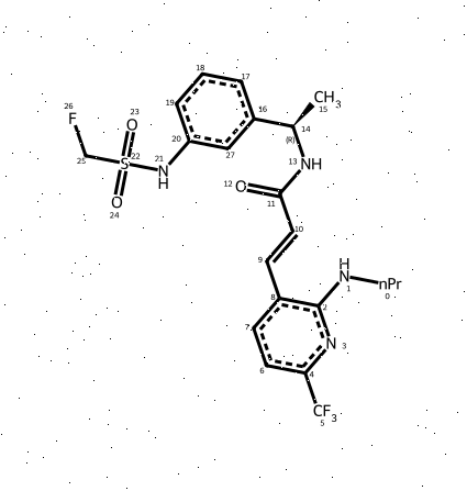 CCCNc1nc(C(F)(F)F)ccc1C=CC(=O)N[C@H](C)c1cccc(NS(=O)(=O)CF)c1